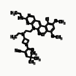 CCNc1ncc2cc(-c3c(Cl)c(OC)cc(OC)c3Cl)c(=O)n(CCN(CC)C3CN(C(=O)/C(C#N)=C\C(C)(C)C)C3)c2n1